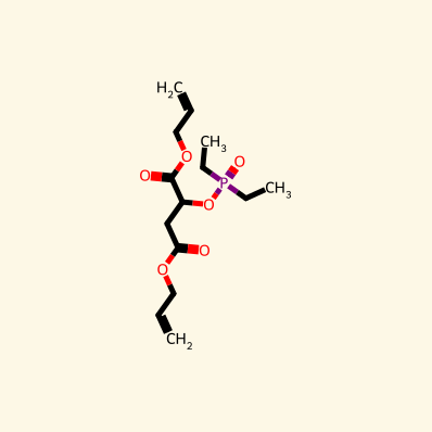 C=CCOC(=O)CC(OP(=O)(CC)CC)C(=O)OCC=C